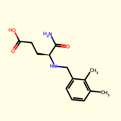 Cc1cccc(CN[C@@H](CCC(=O)O)C(N)=O)c1C